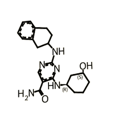 NC(=O)c1cnc(NC2CCc3ccccc3C2)nc1N[C@@H]1CCC[C@H](O)C1